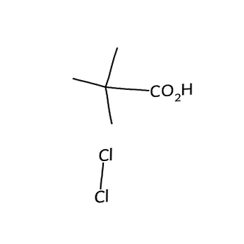 CC(C)(C)C(=O)O.ClCl